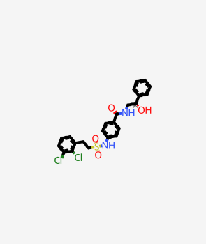 O=C(NC[C@H](O)c1ccccc1)c1ccc(NS(=O)(=O)CCc2cccc(Cl)c2Cl)cc1